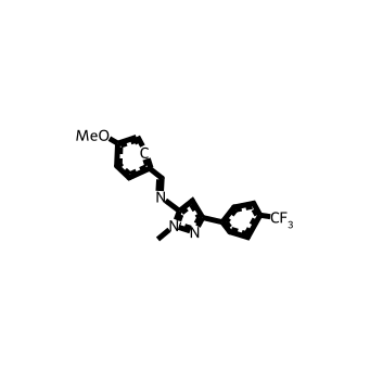 COc1ccc(C=Nc2cc(-c3ccc(C(F)(F)F)cc3)nn2C)cc1